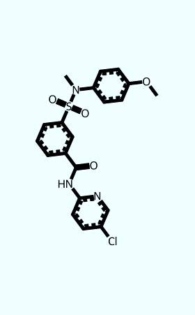 COc1ccc(N(C)S(=O)(=O)c2cccc(C(=O)Nc3ccc(Cl)cn3)c2)cc1